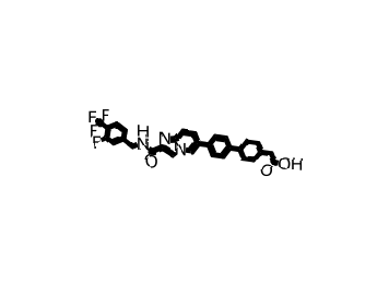 O=C(O)CC1CCC(c2ccc(-c3ccc4nc(C(=O)NCc5ccc(C(F)(F)F)c(F)c5)cn4c3)cc2)CC1